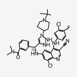 CN(C)C(=O)c1cccc([C@H](Nc2cc(Cl)c3ncc(C#N)c(Nc4ccc(F)c(Cl)c4)c3c2)C2=CN(C3CCN(C(C)(C)C)CC3)NN2)c1